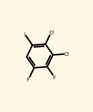 Fc1cc(I)c(Cl)c(Cl)c1F